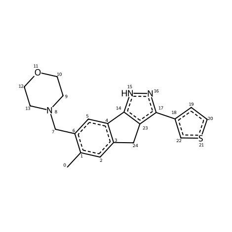 Cc1cc2c(cc1CN1CCOCC1)-c1[nH]nc(-c3ccsc3)c1C2